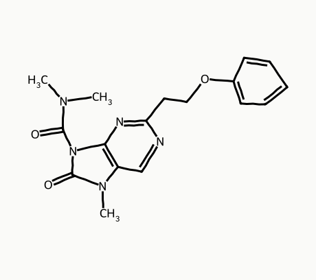 CN(C)C(=O)n1c(=O)n(C)c2cnc(CCOc3ccccc3)nc21